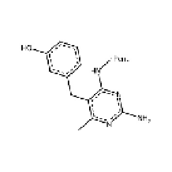 CCCCCNc1nc(N)nc(C)c1Cc1cccc(O)c1